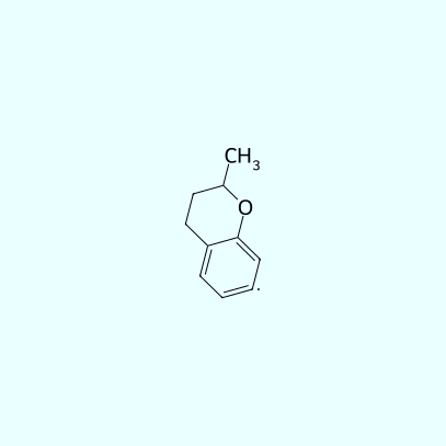 CC1CCc2cc[c]cc2O1